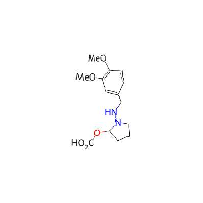 COc1ccc(CNN2CCCC2OC(=O)O)cc1OC